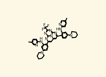 Cc1ccc(Nc2cc(N3CCCCC3)ccc2C2=CC3=CC(c4ccc(N5CCCCC5)cc4Nc4ccc(C)cn4)=NC4=NC(C(F)(F)F)=NC(=N2)N34)nc1